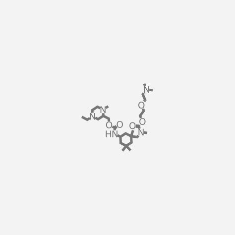 CCN1CCN(C)C(COC(=O)NC2CC(C)(C)CC(C)(CN(C)C(=O)OCCOCCN(C)C)C2)C1